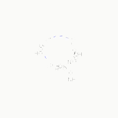 CNC1CCC(C[C@H]2C3CCCN4C(=O)C(=O)C5(O)OC(CCC5C)CC(OC)/C(C)=C/C=C/C=C/[C@@H](C)CC(C)C(=O)[C@H](OC)C(O)/C(C)=C/C(C)C(=O)C[C@@H]2OC(=O)C34)CC1OC